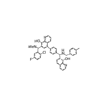 CNC(c1cc(F)ccc1Cl)c1cc(-c2ccc(C(NCc3ccc(C)cc3)c3ccc4cccnc4c3O)cc2)c2cccnc2c1O